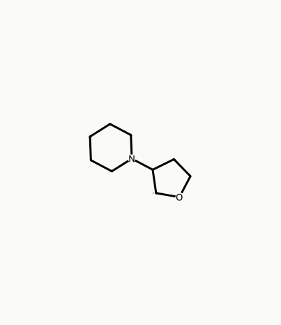 [CH]1OCCC1N1CCCCC1